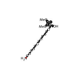 COc1ccc(C(OC[C@@H]2C[C@@H](O)CN2C(=O)CCOCCOCCOCCOCCOCCOCCOCCOCCOCCOCCOCCOCCN)(c2ccccc2)c2ccc(OC)cc2)cc1